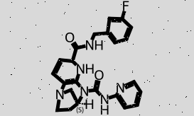 O=C(NCc1cccc(F)c1)C1C=CC2=C(N1)N(C(=O)Nc1ccccn1)[C@H]1CCN2C1